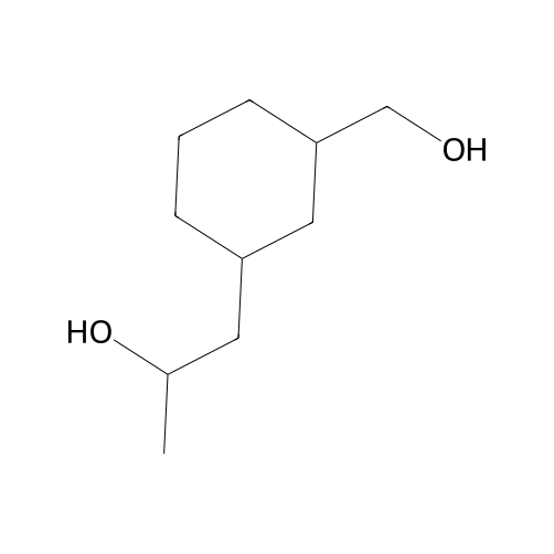 CC(O)CC1CCCC(CO)C1